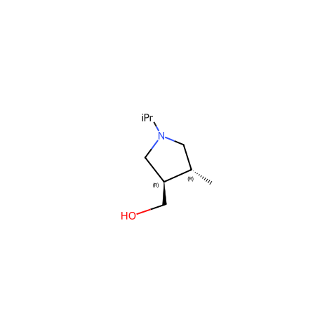 CC(C)N1C[C@H](CO)[C@@H](C)C1